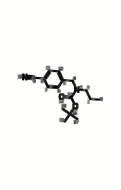 CCCN(Cc1ccc(C#N)cc1)C(=O)OC(C)(C)C